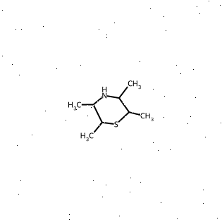 CC1NC(C)C(C)SC1C